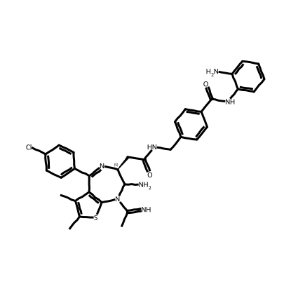 CC(=N)N1c2sc(C)c(C)c2C(c2ccc(Cl)cc2)=N[C@@H](CC(=O)NCc2ccc(C(=O)Nc3ccccc3N)cc2)C1N